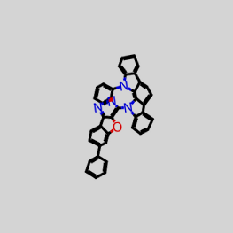 c1ccc(-c2ccc3c(c2)oc2c(-n4c5ccccc5c5ccc6c7ccccc7n(-c7ccccc7)c6c54)ncnc23)cc1